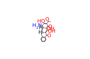 CC(=O)C1=C(O)[C@@H](N)[C@@H]2C[C@@H]3Cc4ccccc4C(=O)C3=C(O)[C@]2(O)C1=O